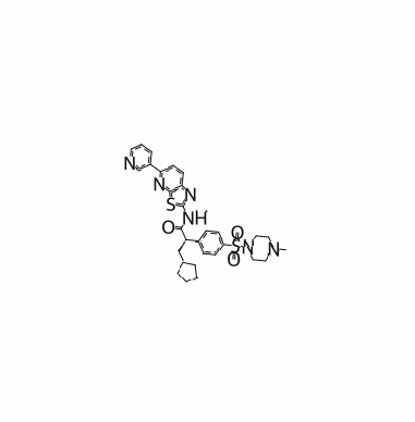 CN1CCN(S(=O)(=O)c2ccc([C@@H](CC3CCCC3)C(=O)Nc3nc4ccc(-c5cccnc5)nc4s3)cc2)CC1